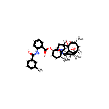 CCN1C[C@]2(OC(=O)c3ccccc3NC(=O)c3cccc(C)c3)CC[C@H](OC)[C@]34C1[C@H](CC23)[C@@]1(O)C[C@H](OC)C[C@H]2CC4[C@]1(O)[C@H]2OC